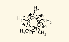 C=C[Si]1(CC(C)C)O[Si](C=C)(CC(C)C)O[Si](C=C)(CC(C)C)O[Si](C=C)(CC(C)C)O[Si](C=C)(CC(C)C)O1